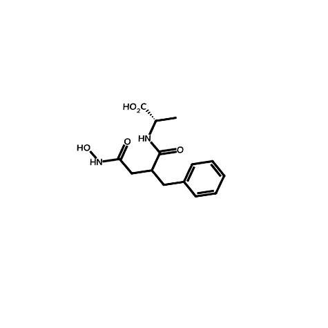 C[C@H](NC(=O)C(CC(=O)NO)Cc1ccccc1)C(=O)O